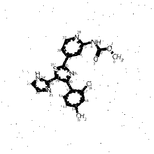 COC(=O)Nc1cc(-c2nc(-c3ccc(C)cc3Cl)c(-c3ncc[nH]3)s2)ccn1